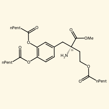 CCCCCC(=O)OCC[C@@](N)(Cc1ccc(OC(=O)CCCCC)c(OC(=O)CCCCC)c1)C(=O)OC